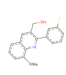 COc1cccc2cc(CO)c(-c3cccc(F)c3)nc12